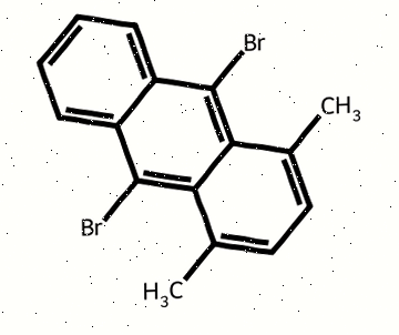 Cc1ccc(C)c2c(Br)c3ccccc3c(Br)c12